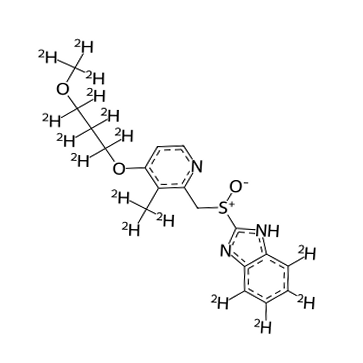 [2H]c1c([2H])c([2H])c2[nH]c([S+]([O-])Cc3nccc(OC([2H])([2H])C([2H])([2H])C([2H])([2H])OC([2H])([2H])[2H])c3C([2H])([2H])[2H])nc2c1[2H]